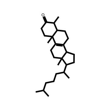 CC(C)CCCC(C)C1CCC2C3=C(CCC21C)C1(C)CCC(=O)C(C)C1CC3